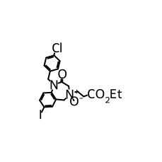 CCOC(=O)CC[N+]1([O-])CC(=O)N(Cc2ccc(Cl)cc2)c2ccc(I)cc2C1